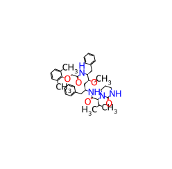 CO[C@@H](C[C@H](Cc1ccccc1)NC(=O)[C@H](C(C)C)N1CCCNC1=O)[C@H](Cc1ccccc1)NC(=O)COc1c(C)cccc1C